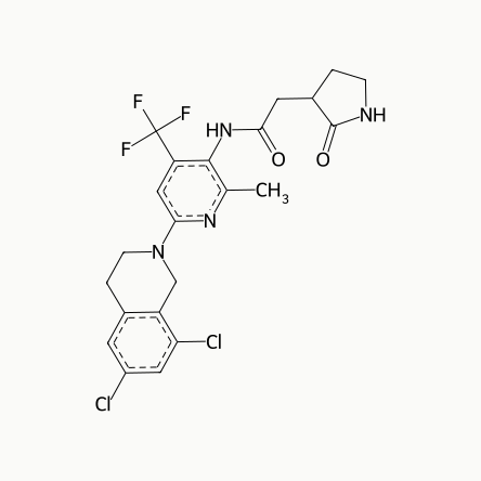 Cc1nc(N2CCc3cc(Cl)cc(Cl)c3C2)cc(C(F)(F)F)c1NC(=O)CC1CCNC1=O